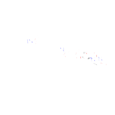 CCCCNC(=O)OCCCCCCNC(=O)CCC(=O)O[C@@H]1C(F)[C@H](n2ccc(=O)[nH]c2=O)O[C@@H]1CC